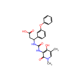 Cc1cn(C)c(=O)c(NC(=O)NC(CC(=O)O)c2cccc(Oc3ccccc3)c2)c1O